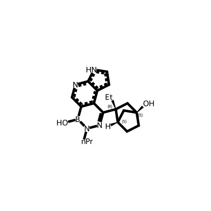 CCCN1N=C([C@]2(CC)C[C@]3(O)CC[C@H]2C3)c2c(cnc3[nH]ccc23)B1O